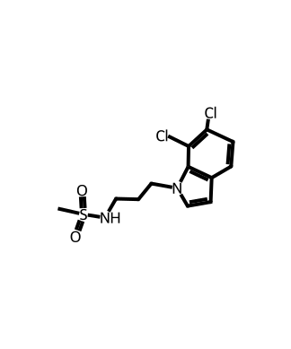 CS(=O)(=O)NCCCn1ccc2ccc(Cl)c(Cl)c21